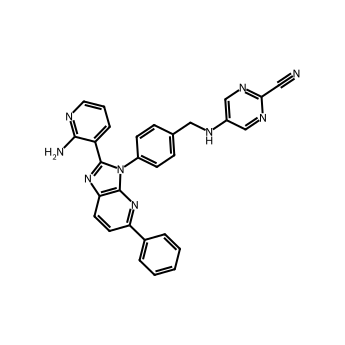 N#Cc1ncc(NCc2ccc(-n3c(-c4cccnc4N)nc4ccc(-c5ccccc5)nc43)cc2)cn1